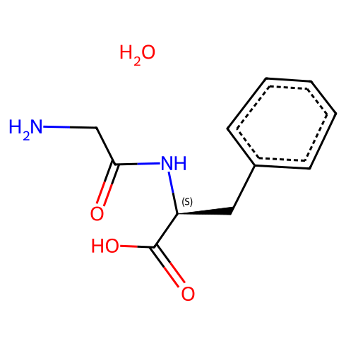 NCC(=O)N[C@@H](Cc1ccccc1)C(=O)O.O